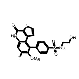 COc1c(F)cc2[nH]c(=O)c3sccc3c2c1-c1ccc(S(=O)(=O)NCCO)cc1